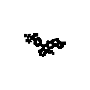 CC(C)(C#N)c1ccc(N2C(=O)N(Cc3ccnc4[nH]ccc34)C(C)(C)C2=O)cc1